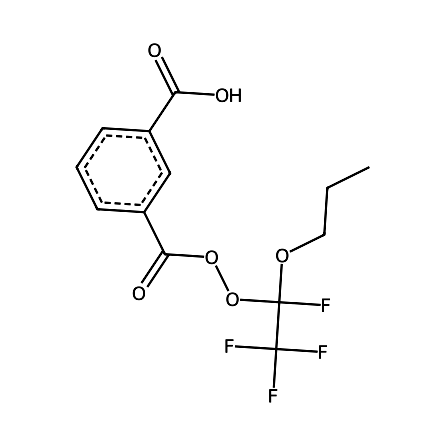 CCCOC(F)(OOC(=O)c1cccc(C(=O)O)c1)C(F)(F)F